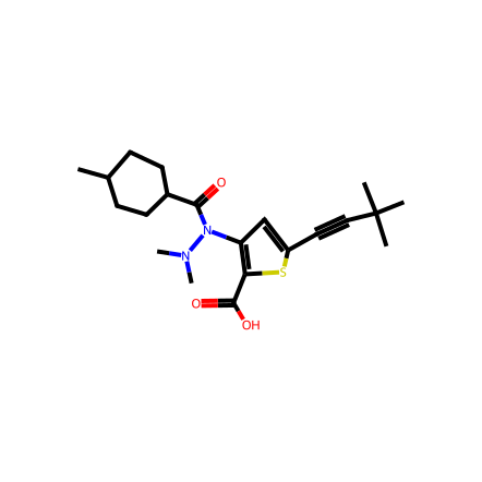 CC1CCC(C(=O)N(c2cc(C#CC(C)(C)C)sc2C(=O)O)N(C)C)CC1